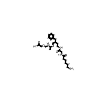 CC(NCOCC(=O)O)OCC(CCNC(=O)CNC(=O)CCCCCN)Cc1ccccc1